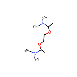 CCCN(CCC)C(C)OCCOC(C)N(CCC)CCC